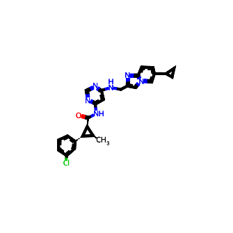 C[C@H]1[C@H](C(=O)Nc2cc(NCc3cn4cc(C5CC5)ccc4n3)ncn2)[C@H]1c1cccc(Cl)c1